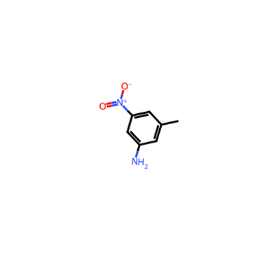 Cc1cc(N)cc([N+](=O)[O-])c1